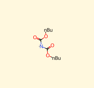 CCCCOC(=O)[N]C(=O)OCCCC